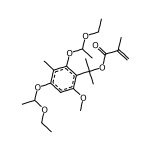 C=C(C)C(=O)OC(C)(C)c1c(OC)cc(OC(C)OCC)c(C)c1OC(C)OCC